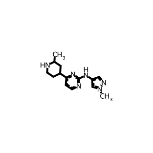 CC1CC(c2ccnc(Nc3cnn(C)c3)n2)CCN1